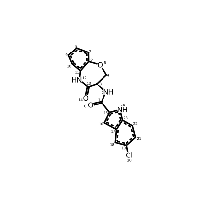 O=C(N[C@@H]1COc2ccccc2NC1=O)c1cc2cc(Cl)ccc2[nH]1